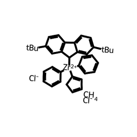 C.CC(C)(C)c1ccc2c(c1)[CH]([Zr+2]([C]1=CC=CC1)([c]1ccccc1)[c]1ccccc1)c1cc(C(C)(C)C)ccc1-2.[Cl-].[Cl-]